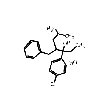 CCC(O)(c1ccc(Cl)cc1)C(Cc1ccccc1)CN(C)C.Cl